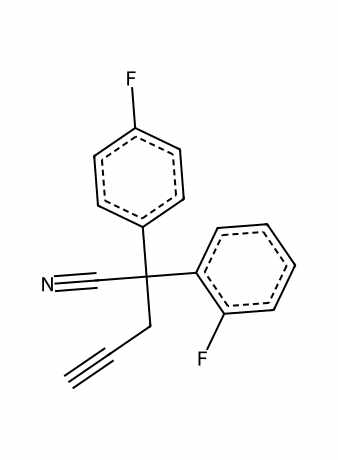 C#CCC(C#N)(c1ccc(F)cc1)c1ccccc1F